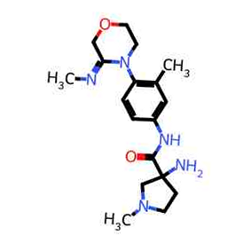 CN=C1COCCN1c1ccc(NC(=O)C2(N)CCN(C)C2)cc1C